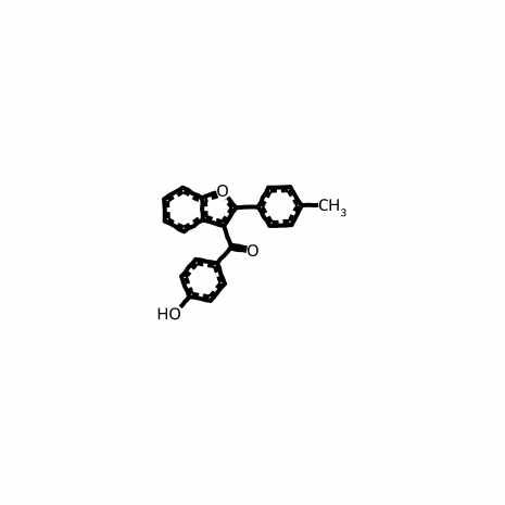 Cc1ccc(-c2oc3ccccc3c2C(=O)c2ccc(O)cc2)cc1